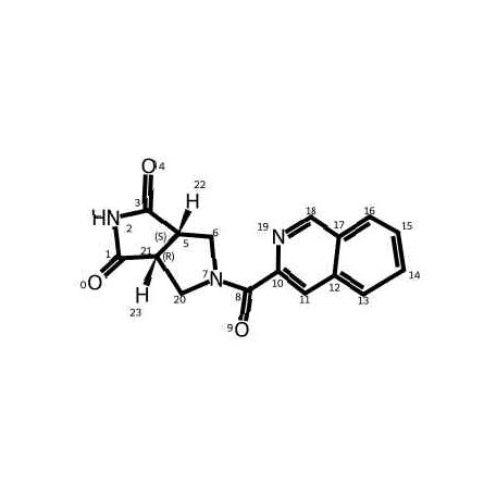 O=C1NC(=O)[C@@H]2CN(C(=O)c3cc4ccccc4cn3)C[C@H]12